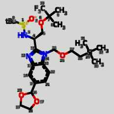 CC(C)(C)[S+]([O-])N[C@@H](COC(C)(C)C(F)(F)F)c1nc2cc(C3OCCO3)ccc2n1COCC[Si](C)(C)C